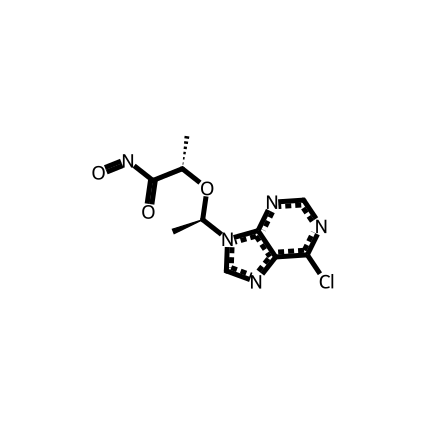 C[C@H](O[C@H](C)n1cnc2c(Cl)ncnc21)C(=O)N=O